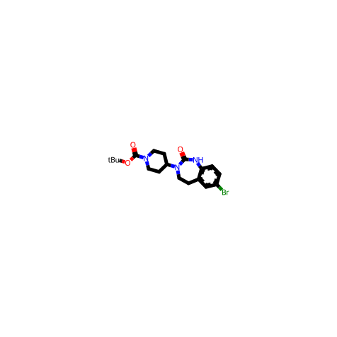 CC(C)(C)OC(=O)N1CCC(N2CCc3cc(Br)ccc3NC2=O)CC1